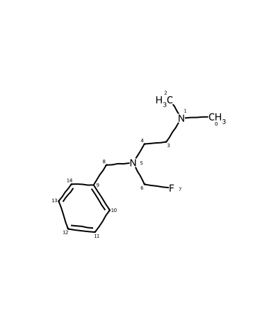 CN(C)CCN(CF)Cc1ccccc1